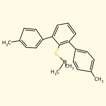 Cc1ccc(-c2cccc(-c3ccc(C)cc3)c2[S][Bi]([CH3])[CH3])cc1